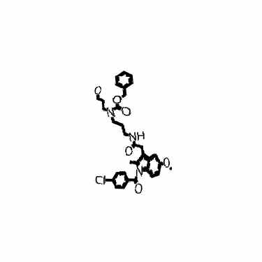 COc1ccc2c(c1)c(CC(=O)NCCCN(CCC=O)C(=O)OCc1ccccc1)c(C)n2C(=O)c1ccc(Cl)cc1